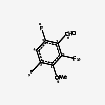 COc1c(F)cc(F)c(C=O)c1F